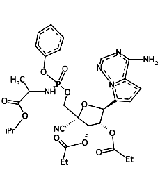 CCC(=O)O[C@H]1[C@H](c2ccc3c(N)ncnn23)O[C@](C#N)(CO[P@@](=O)(NC(C)C(=O)OC(C)C)Oc2ccccc2)[C@H]1OC(=O)CC